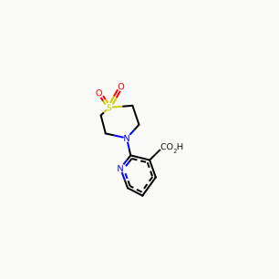 O=C(O)c1cccnc1N1CCS(=O)(=O)CC1